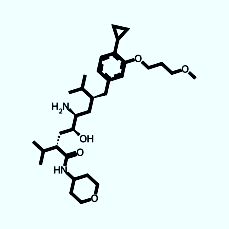 COCCCOc1cc(C[C@@H](C[C@H](N)[C@@H](O)C[C@H](C(=O)NC2CCOCC2)C(C)C)C(C)C)ccc1C1CC1